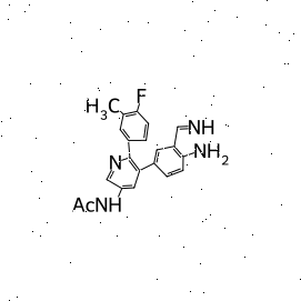 CC(=O)Nc1cnc(-c2ccc(F)c(C)c2)c(-c2ccc(N)c(C=N)c2)c1